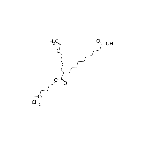 C=COCCCCOC(=O)C(CCCCCCCCCC(=O)O)CCCCOC=C